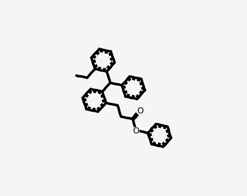 CCc1ccccc1C(c1ccccc1)c1ccccc1CCC(=O)Oc1ccccc1